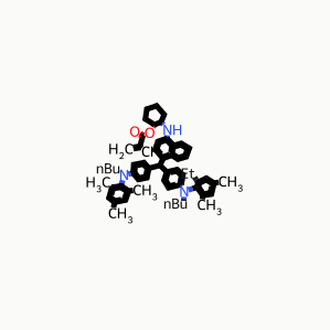 C=C(C)C(=O)OC1CCCCC1Nc1ccc(C(c2ccc(N(CCCC)c3c(C)cc(C)cc3C)cc2)c2ccc(N(CCCC)c3c(C)cc(C)cc3CC)cc2)c2ccccc12